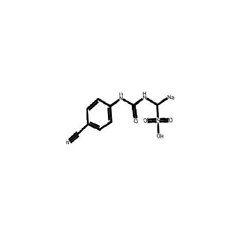 N#Cc1ccc(NC(=O)N[CH]([Na])S(=O)(=O)O)cc1